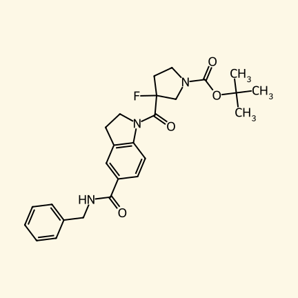 CC(C)(C)OC(=O)N1CCC(F)(C(=O)N2CCc3cc(C(=O)NCc4ccccc4)ccc32)C1